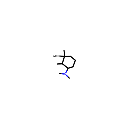 CNC1(C)CCCC(N(C)C)C1C